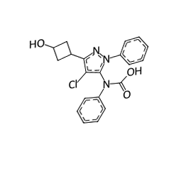 O=C(O)N(c1ccccc1)c1c(Cl)c(C2CC(O)C2)nn1-c1ccccc1